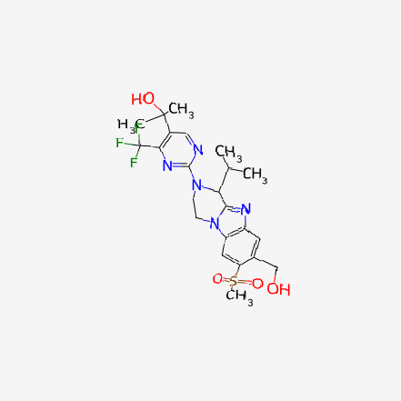 CC(C)C1c2nc3cc(CO)c(S(C)(=O)=O)cc3n2CCN1c1ncc(C(C)(C)O)c(C(F)(F)F)n1